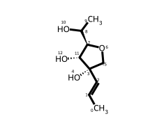 CC=C[C@]1(O)[CH]O[C@H](C(C)O)[C@H]1O